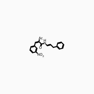 CC(=O)C(=Cc1cccc([N+](=O)[O-])c1)C(=O)NC=CCc1ccccc1